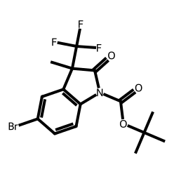 CC(C)(C)OC(=O)N1C(=O)C(C)(C(F)(F)F)c2cc(Br)ccc21